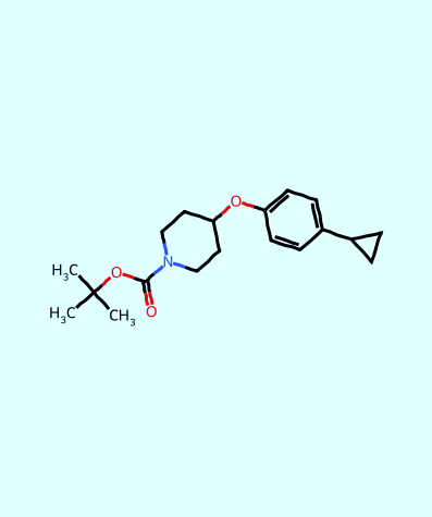 CC(C)(C)OC(=O)N1CCC(Oc2ccc(C3CC3)cc2)CC1